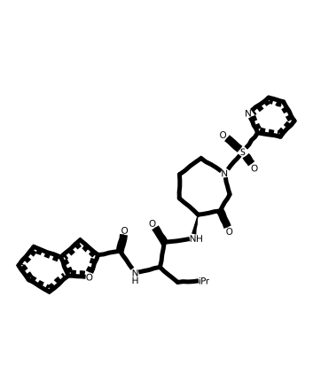 CC(C)CC(NC(=O)c1cc2ccccc2o1)C(=O)N[C@H]1CCCN(S(=O)(=O)c2ccccn2)CC1=O